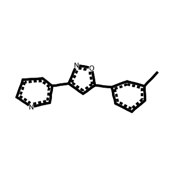 Cc1cccc(-c2cc(-c3cccnc3)no2)c1